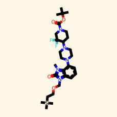 Cn1c(=O)n(COCC[Si](C)(C)C)c2cccc(N3CCN(C4CCN(C(=O)OC(C)(C)C)CC4(F)F)CC3)c21